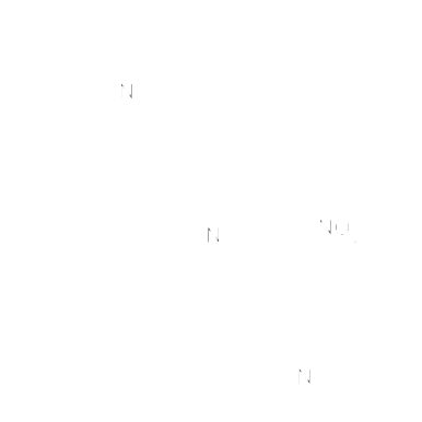 CN(C)C1CCN(c2ccncc2[N+](=O)[O-])CC1